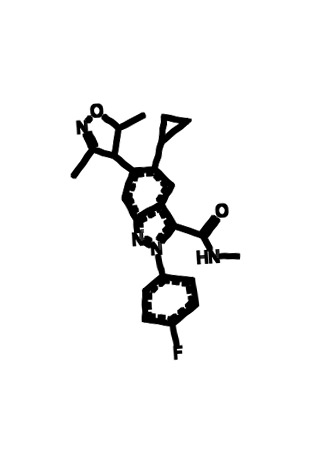 CNC(=O)c1c2cc(C3CC3)c(C3C(C)=NOC3C)cc2nn1-c1ccc(F)cc1